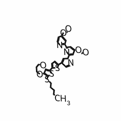 CCCCCSc1sc(-c2ccc(-c3ccnc(-c4cc(OC=O)cc(-c5cc(OC=O)ccn5)n4)c3)s2)c2c1OCCCO2